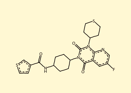 O=C(NC1CCC(n2c(=O)c3cc(F)cnc3n(C3CCSCC3)c2=O)CC1)c1ccsc1